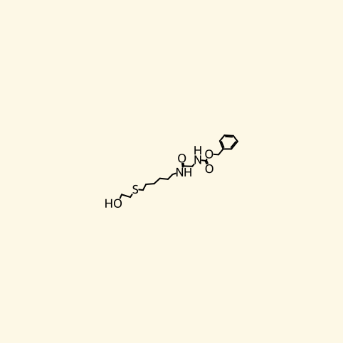 O=C(CNC(=O)OCc1ccccc1)NCCCCCCSCCO